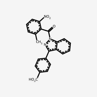 Cc1cccc([N+](=O)[O-])c1C(=O)n1nc(-c2ccc(C(=O)O)cc2)c2ccccc21